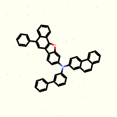 c1ccc(-c2cccc(N(c3ccc4c(ccc5ccccc54)c3)c3ccc4c(c3)oc3c5ccccc5c(-c5ccccc5)cc43)c2)cc1